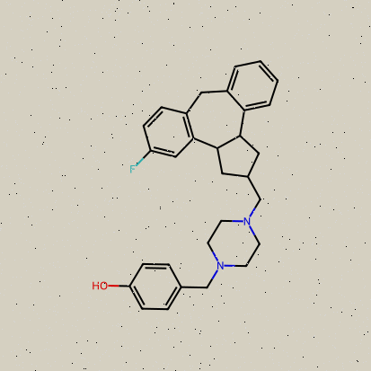 Oc1ccc(CN2CCN(CC3CC4c5ccccc5Cc5ccc(F)cc5C4C3)CC2)cc1